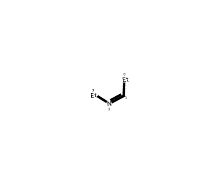 CC/C=N\CC